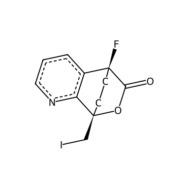 O=C1O[C@@]2(CI)CC[C@]1(F)c1cccnc12